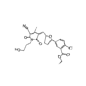 CCOC(=O)c1cc(C2=CCC(/C=C3\C(=O)N(CCCO)C(=O)C(C#N)=C3C)O2)ccc1Cl